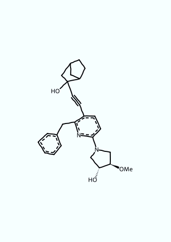 CO[C@@H]1CN(c2ccc(C#CC3(O)CC4CCC3C4)c(Cc3ccccc3)n2)C[C@H]1O